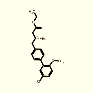 CCOC(=O)C[C@H](N)Cc1ccc(-c2cc(Cl)ccc2OC)cc1